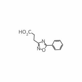 O=C(O)CCc1noc(-c2ccccc2)n1